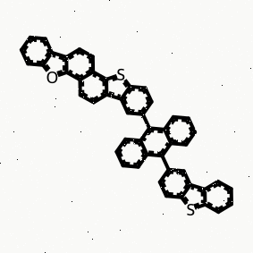 c1ccc2c(c1)oc1c2ccc2c1ccc1c3cc(-c4c5ccccc5c(-c5ccc6sc7ccccc7c6c5)c5ccccc45)ccc3sc12